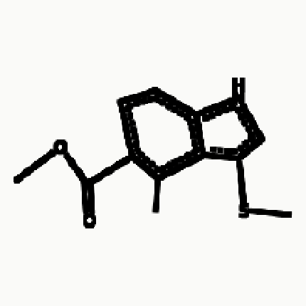 COC(=O)c1ccc2[nH]cc(SC)c2c1C